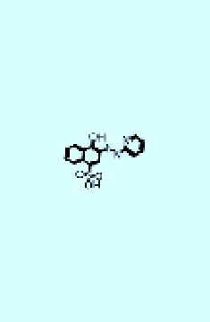 O=S(=O)(O)c1cc(N=Nc2ccccn2)c(O)c2ccccc12